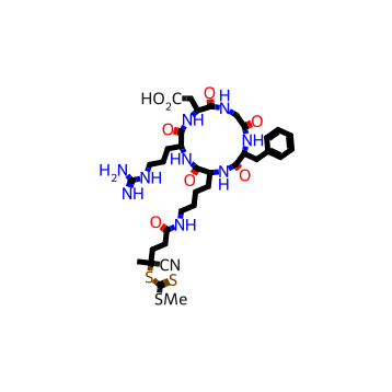 CSC(=S)SC(C)(C#N)CCC(=O)NCCCCC1NC(=O)C(Cc2ccccc2)NC(=O)CNC(=O)C(CC(=O)O)NC(=O)C(CCCNC(=N)N)NC1=O